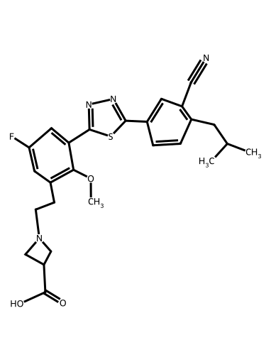 COc1c(CCN2CC(C(=O)O)C2)cc(F)cc1-c1nnc(-c2ccc(CC(C)C)c(C#N)c2)s1